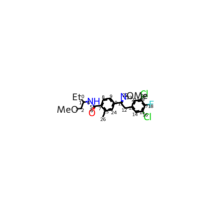 CCC(COC)NC(=O)c1ccc(/C(Cc2cc(Cl)c(F)c(Cl)c2)=N/OC)cc1C